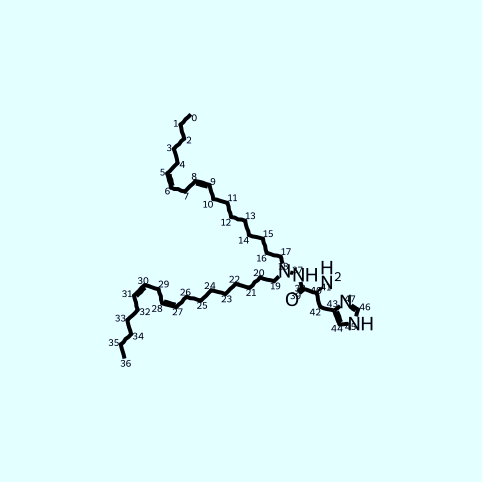 CCCCC/C=C\C/C=C\CCCCCCCCN(CCCCCCCC/C=C\C/C=C\CCCCC)NC(=O)[C@@H](N)Cc1c[nH]cn1